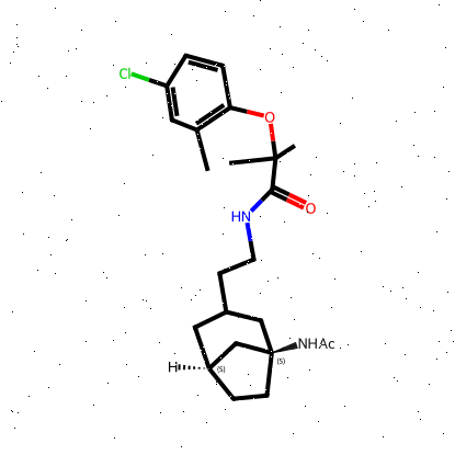 CC(=O)N[C@]12CC[C@@H](CC(CCNC(=O)C(C)(C)Oc3ccc(Cl)cc3C)C1)C2